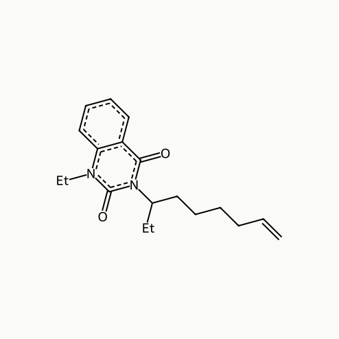 C=CCCCCC(CC)n1c(=O)c2ccccc2n(CC)c1=O